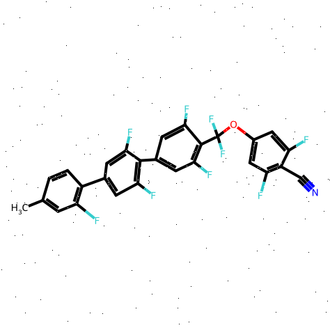 Cc1ccc(-c2cc(F)c(-c3cc(F)c(C(F)(F)Oc4cc(F)c(C#N)c(F)c4)c(F)c3)c(F)c2)c(F)c1